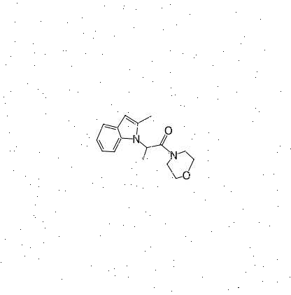 Cc1cc2ccccc2n1C(C)C(=O)N1CCOCC1